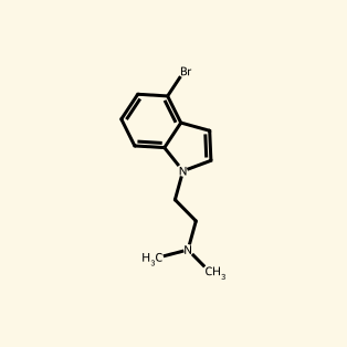 CN(C)CCn1ccc2c(Br)cccc21